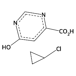 ClC1CC1.O=C(O)c1cc(O)ncn1